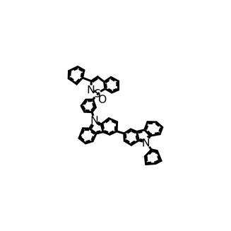 O=S1(c2cccc(-n3c4ccccc4c4cc(-c5ccc6c(c5)c5ccccc5n6-c5ccccc5)ccc43)c2)=NC(c2ccccc2)=Cc2ccccc21